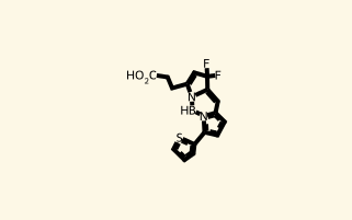 O=C(O)CCC1=CC(F)(F)C2=Cc3ccc(-c4cccs4)n3BN12